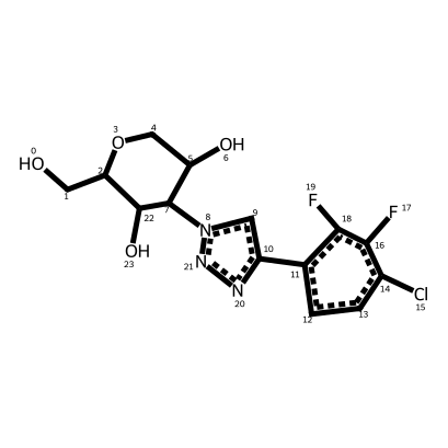 OCC1OCC(O)C(n2cc(-c3ccc(Cl)c(F)c3F)nn2)C1O